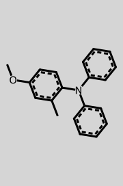 COc1ccc(N(c2ccccc2)c2ccccc2)c(C)c1